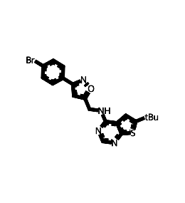 CC(C)(C)c1cc2c(NCc3cc(-c4ccc(Br)cc4)no3)ncnc2s1